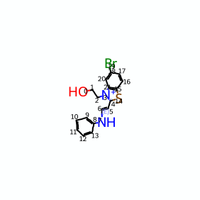 OCC[n+]1c(/C=C/Nc2ccccc2)sc2ccc(Br)cc21